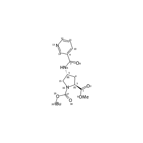 COC(=O)[C@@H]1C[C@@H](NC(=O)c2cccnc2)CN1C(=O)OC(C)(C)C